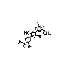 C=Cc1cc(-c2cc(C#N)c(N3CCN(C(=O)C4CC4)C(C4CC4)C3)nc2C2CC2)nc(N)n1